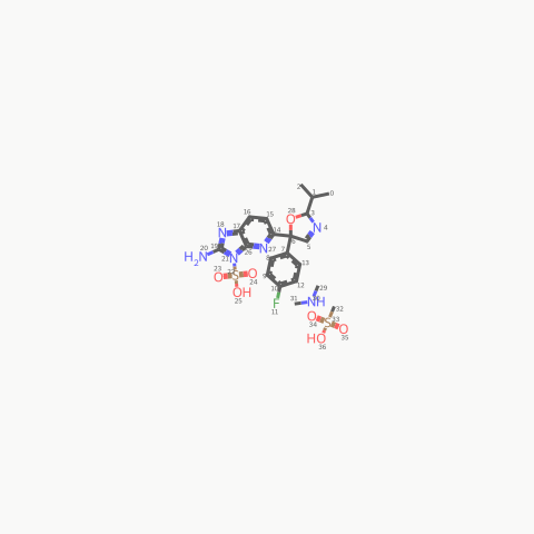 CC(C)C1N=CC(c2ccc(F)cc2)(c2ccc3nc(N)n(S(=O)(=O)O)c3n2)O1.CNC.CS(=O)(=O)O